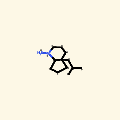 CC(C)CC12CCCC1N(N)CCC2